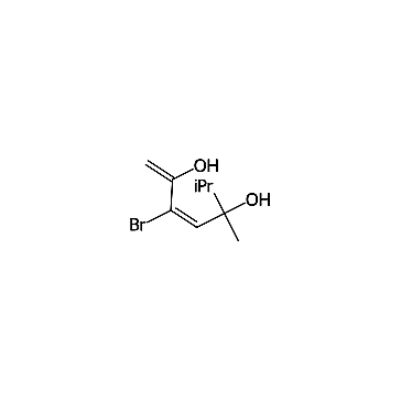 C=C(O)/C(Br)=C\C(C)(O)C(C)C